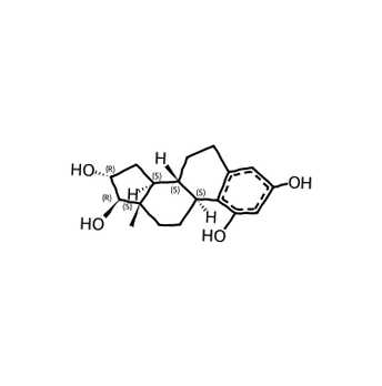 C[C@]12CC[C@@H]3c4c(O)cc(O)cc4CC[C@H]3[C@@H]1C[C@@H](O)[C@@H]2O